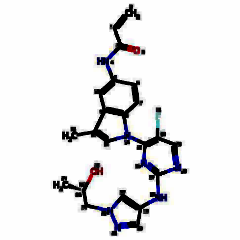 C=CC(=O)Nc1ccc2c(c1)c(C)cn2-c1nc(Nc2cnn(C[C@H](C)O)c2)ncc1F